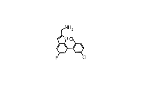 NCc1cc2cc(F)cc(-c3cc(Cl)ccc3Cl)c2o1